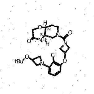 CC(C)(C)OC1CN(c2cccc(OC3CN(C(=O)N4CC[C@@H]5OCC(=O)N[C@@H]5C4)C3)c2Cl)C1